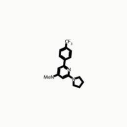 CNc1cc(-c2ccc(C(F)(F)F)cc2)nc(N2CCCC2)c1